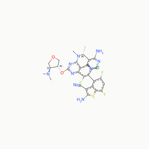 C[C@H](c1cncnc1N)N(C)c1nc(O[C@H]2COC[C@@H]2N(C)C)nc2c(F)c(-c3c(F)cc(F)c4sc(N)c(C#N)c34)c(Cl)cc12